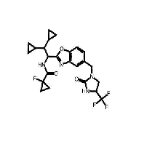 O=C1NC(C(F)(F)F)CN1Cc1ccc2oc(C(NC(=O)C3(F)CC3)C(C3CC3)C3CC3)nc2c1